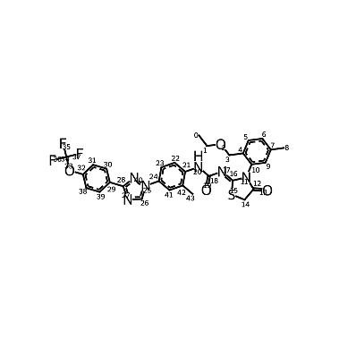 CCOCc1ccc(C)cc1N1C(=O)CS/C1=N\C(=O)Nc1ccc(-n2cnc(-c3ccc(OC(F)(F)F)cc3)n2)cc1C